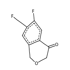 O=C1COCc2cc(F)c(F)cc21